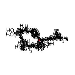 CCCC(=O)OCN(C(=O)[C@@H](NC(=O)[C@H]1CCCCN1C)C(C)CC)[C@H](CCc1nc(C(=O)NCC[C@H](Cc2cc(O)ccc2C)C(=O)NNC(=O)OCCSSC[C@H](NC(=O)[C@H](CC(=O)O)NC(=O)[C@@H](N)CNC(=O)CCC(=O)N2Cc3ccccc3-c3c(nnn3CCOCCOCCOCCNC(=S)Nc3ccc(-c4c5ccc(=O)cc-5oc5cc(O)ccc45)c(C(=O)O)c3)-c3ccccc32)C(=O)O)cs1)C(C)C